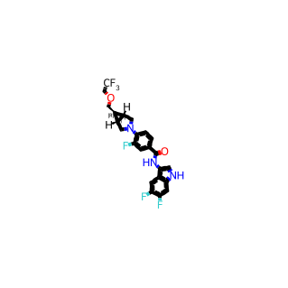 O=C(Nc1c[nH]c2cc(F)c(F)cc12)c1ccc(N2C[C@@H]3[C@@H](COCC(F)(F)F)[C@@H]3C2)c(F)c1